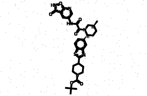 C[C@H]1CC[C@H](c2ccc3sc(C4CCN(C(=O)OC(C)(C)C)CC4)nc3c2)N(C(=O)C(=O)Nc2cnc3o[nH]c(=O)c3c2)C1